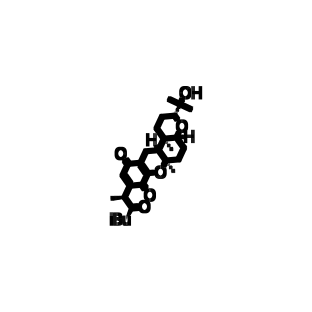 CC[C@H](C)C(=O)[C@@H](C)C1=CC(=O)C2=C(O[C@]3(C)CC[C@H]4O[C@@H](C(C)(C)O)CC[C@]4(C)[C@H]3C2)C1=O